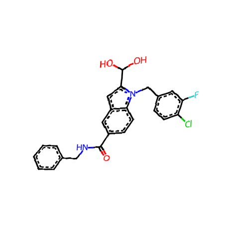 O=C(NCc1ccccc1)c1ccc2c(c1)cc(C(O)O)n2Cc1ccc(Cl)c(F)c1